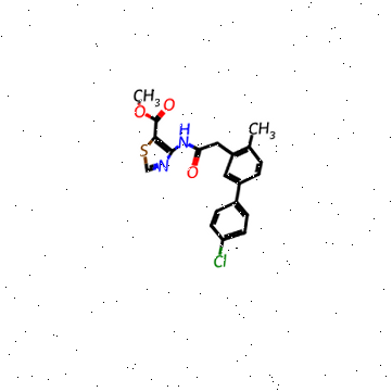 COC(=O)c1scnc1NC(=O)Cc1cc(-c2ccc(Cl)cc2)ccc1C